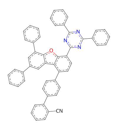 N#Cc1ccccc1-c1ccc(-c2ccc(-c3nc(-c4ccccc4)nc(-c4ccccc4)n3)c3oc4c(-c5ccccc5)cc(-c5ccccc5)cc4c23)cc1